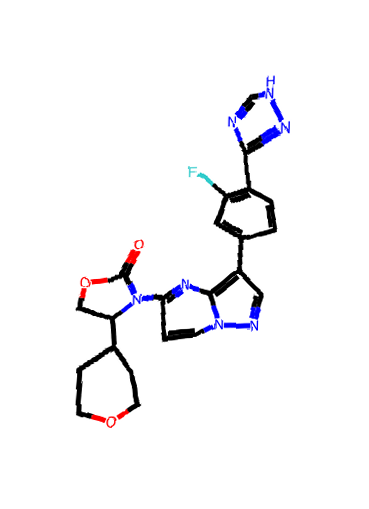 O=C1OCC(C2CCOCC2)N1c1ccn2ncc(-c3ccc(-c4nc[nH]n4)c(F)c3)c2n1